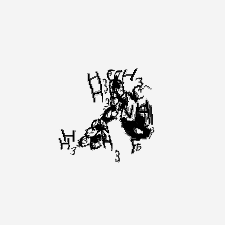 [C-]#[N+]/C(C(=O)OC(C)(C)C)=C(\NCc1cc(F)ccc1Cl)N1CCC[C@@H](NC(=O)OC(C)(C)C)C1